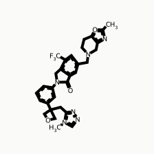 Cc1nc2c(o1)CCN(Cc1cc3c(c(C(F)(F)F)c1)CN(c1cccc(C4(Cc5nncn5C)COC4)c1)C3=O)C2